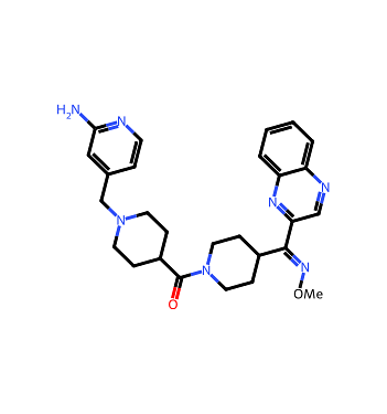 CON=C(c1cnc2ccccc2n1)C1CCN(C(=O)C2CCN(Cc3ccnc(N)c3)CC2)CC1